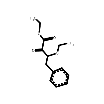 CCOC(=O)C(=O)C(Cc1ccccc1)OCC